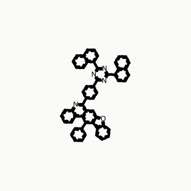 c1ccc(-c2c3c(cc4c(-c5ccc(-c6nc(-c7cccc8ccccc78)nc(-c7cccc8ccccc78)n6)cc5)nc5ccccc5c24)oc2ccccc23)cc1